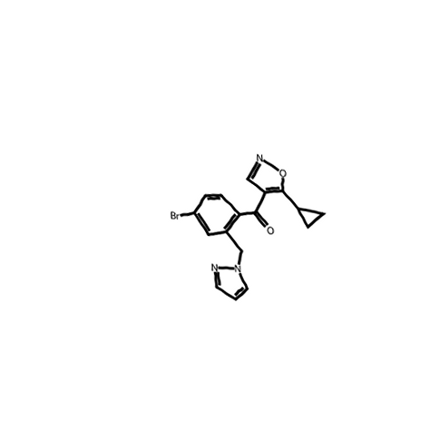 O=C(c1ccc(Br)cc1Cn1cccn1)c1cnoc1C1CC1